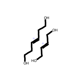 OC/C=C/CO.OCC/C=C/CCO